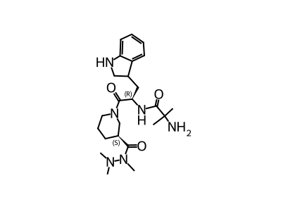 CN(C)N(C)C(=O)[C@H]1CCCN(C(=O)[C@@H](CC2CNc3ccccc32)NC(=O)C(C)(C)N)C1